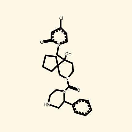 O=C(N1CCC(O)(Cn2ccc(Cl)cc2=O)C2(CCCC2)C1)N1CCNCC1c1ccccc1